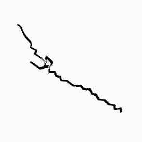 CCCCCCCCCCCCCCCCCCC[n+]1ccn(CCCCCCC)c1CC